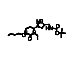 CCCCON1CC[C@@H](C2=NO[C@@H](CNC(=O)OC(C)(C)C)C2)N(CC)C1=O